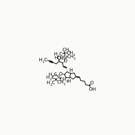 CC#CCC(C)[C@@H](/C=C/[C@@H]1[C@H]2C/C(=C/CCCC(=O)O)C[C@H]2C[C@H]1O[Si](C)(C)C(C)(C)C)O[Si](C)(C)C(C)(C)C